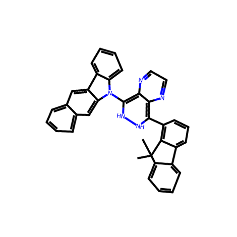 CC1(C)c2ccccc2-c2cccc(C3=c4nccnc4=C(n4c5ccccc5c5cc6ccccc6cc54)NN3)c21